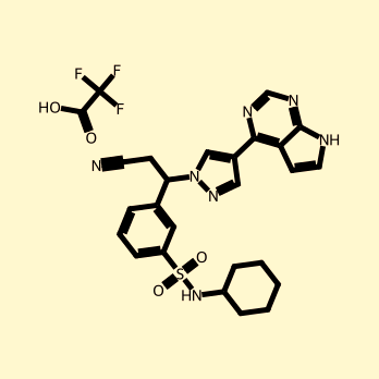 N#CCC(c1cccc(S(=O)(=O)NC2CCCCC2)c1)n1cc(-c2ncnc3[nH]ccc23)cn1.O=C(O)C(F)(F)F